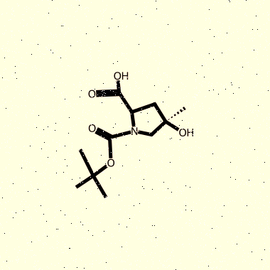 CC(C)(C)OC(=O)N1C[C@](C)(O)CC1C(=O)O